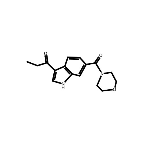 CCC(=O)c1c[nH]c2cc(C(=O)N3CCOCC3)ccc12